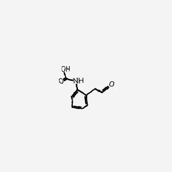 O=CCc1ccccc1NC(=O)O